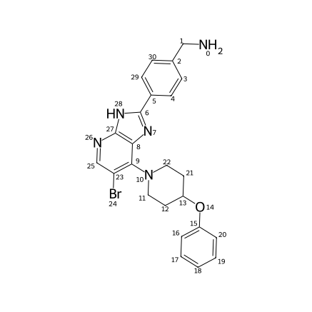 NCc1ccc(-c2nc3c(N4CCC(Oc5ccccc5)CC4)c(Br)cnc3[nH]2)cc1